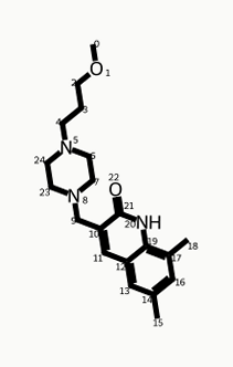 COCCCN1CCN(Cc2cc3cc(C)cc(C)c3[nH]c2=O)CC1